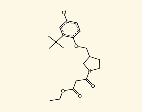 CCOC(=O)CC(=O)N1CCC(COc2ccc(Cl)cc2C(C)(C)C)C1